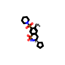 Cc1cc2c(cc1S(=O)(=O)N1CCCCC1)S(=O)(=O)N[C@@H](C1CCCC1)C2